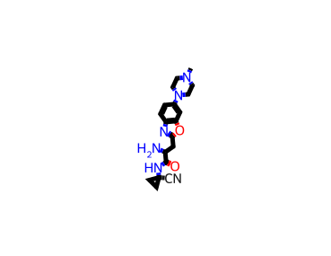 CN1CCN(c2ccc3nc(CC(N)C(=O)NC4(C#N)CC4)oc3c2)CC1